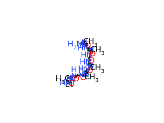 CCNC(=O)c1nc(NC(=O)CCNC(=O)c2cc(NC(=O)c3nc(NC(=O)CCNC(=O)c4cc(NC(=O)c5nc(N)cn5C)cn4C)cn3C)cn2C)cn1C